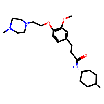 COc1cc(CCC(=O)N[C@H]2CC[C@H](C)CC2)ccc1OCCN1CCN(C)CC1